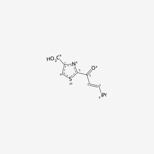 CC(C)C=CC(=O)c1nc(C(=O)O)cs1